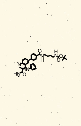 C=Nc1ccc(-c2ccc(C(=O)NCCCCNC(=O)OC(C)(C)C)cc2)cc1/C(Nc1ccccc1)=C(\C)C(=O)NC